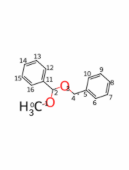 COC(O[CH]c1ccccc1)c1ccccc1